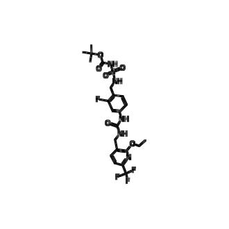 CCOc1nc(C(F)(F)F)ccc1CNC(=O)Nc1ccc(CNS(=O)(=O)NC(=O)OC(C)(C)C)c(F)c1